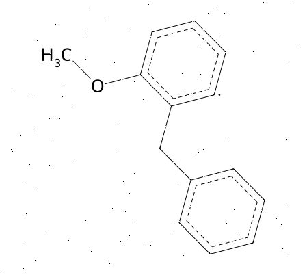 COc1ccc[c]c1Cc1ccccc1